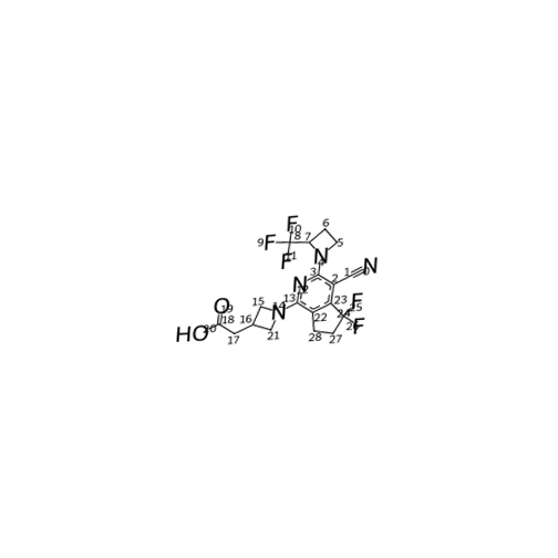 N#Cc1c(N2CCC2C(F)(F)F)nc(N2CC(CC(=O)O)C2)c2c1C(F)(F)CC2